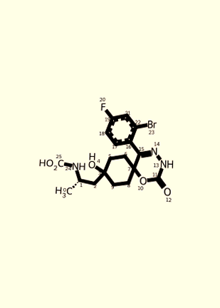 C[C@@H](CC1(O)CCC2(CC1)OC(=O)NN=C2c1ccc(F)cc1Br)NC(=O)O